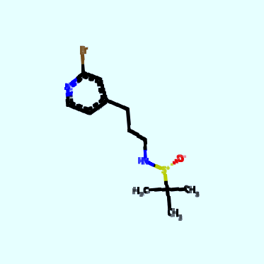 CC(C)(C)[S@@+]([O-])NCCCc1ccnc(Br)c1